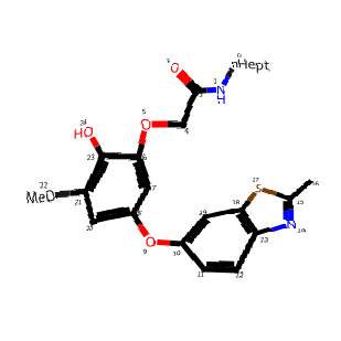 CCCCCCCNC(=O)COc1cc(Oc2ccc3nc(C)sc3c2)cc(OC)c1O